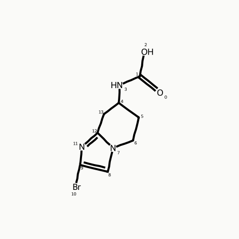 O=C(O)NC1CCn2cc(Br)nc2C1